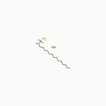 Br.CCCCCCCCCCCCCCC(C)C(C)(C)P